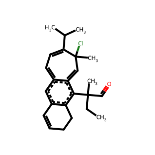 CCC(C)(C=O)c1c2c(cc3c1=CC(C)(Cl)C(C(C)C)=CC=3)C=CCC2